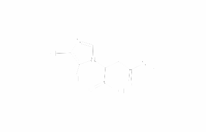 NC(=O)CC(C(=O)O)n1cnc(Cl)c1Cl